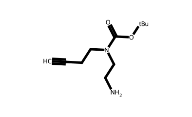 C#CCCN(CCN)C(=O)OC(C)(C)C